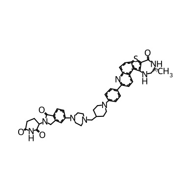 C[C@@H]1CNc2c(sc3ccc4nc(-c5ccc(N6CCC(CN7CCN(c8ccc9c(c8)CN(C8CCC(=O)NC8=O)C9=O)CC7)CC6)cc5)ccc4c23)C(=O)N1